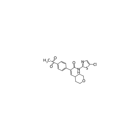 CS(=O)(=O)c1ccc(C(=CC2CCOCC2)C(=O)Nc2ncc(Cl)s2)cc1